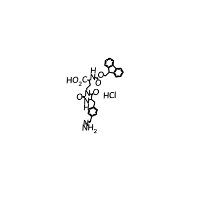 Cl.NN=Cc1ccc(CC2NC(=O)N(CCC(NC(=O)OCC3c4ccccc4-c4ccccc43)C(=O)O)C2=O)cc1